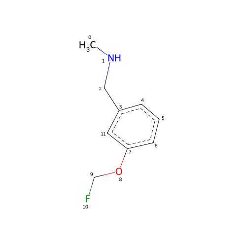 CNCc1cccc(OCF)c1